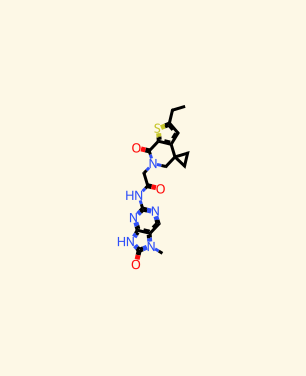 CCc1cc2c(s1)C(=O)N(CC(=O)Nc1ncc3c(n1)[nH]c(=O)n3C)CC21CC1